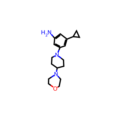 Nc1cc(C2CC2)cc(N2CCC(N3CCOCC3)CC2)c1